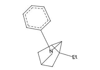 CCC12CC3CC1C2N(c1ccccc1)C3